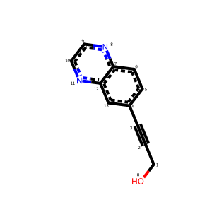 OCC#Cc1ccc2nccnc2c1